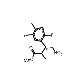 COC(=O)C(C)[C@@H](C[N+](=O)[O-])c1cc(F)c(C)cc1F